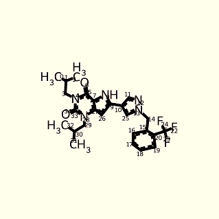 CC(C)Cn1c(=O)c2[nH]c(-c3cnn(Cc4ccccc4C(F)(F)F)c3)cc2n(CC(C)C)c1=O